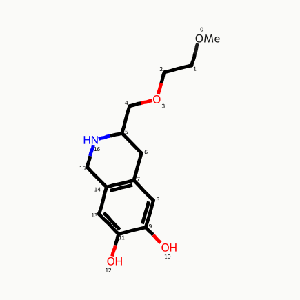 COCCOCC1Cc2cc(O)c(O)cc2CN1